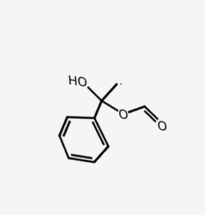 [CH2]C(O)(OC=O)c1ccccc1